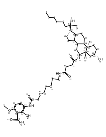 CCCCCC[C@](C)(O)[C@H]1CCC2C3C[C@H](OC(=O)CCC(=O)NCCOCCOCC(=O)Nc4ccc(OC)c(C(N)=O)c4O)[C@H]4C[C@@H](O)CC[C@]4(C)C3CC[C@@]21C